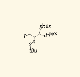 CCCCCCC(CCCCCC)C(CF)SSC(C)(C)C